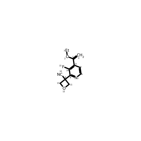 C=C(OCC)c1ccnc(C2(C#N)COC2)c1F